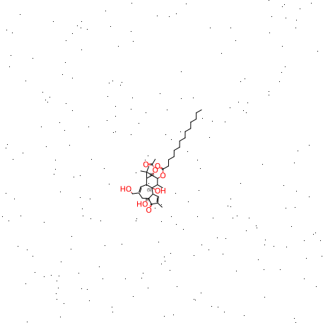 CCCCCCCCCCCCCC(=O)OC1C(C)[C@@]2(O)C(C=C(CO)C[C@]3(O)C(=O)C(C)=CC23)C2C(C)(C)[C@]12OC(C)=O